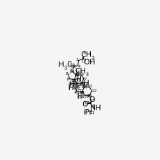 C=C(O)CC[C@@H](C)[C@H]1CC[C@H]2[C@@H]3CC[C@@H]4C[C@H](OC(=O)NC(C)C)CC[C@]4(C)[C@H]3CC[C@]12C